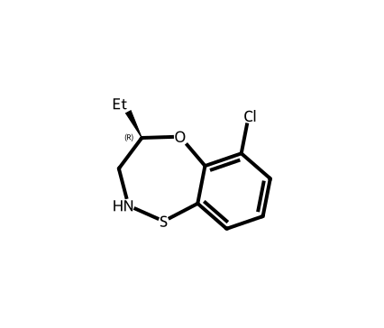 CC[C@@H]1CNSc2cccc(Cl)c2O1